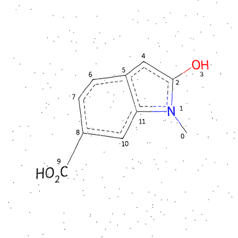 Cn1c(O)cc2ccc(C(=O)O)cc21